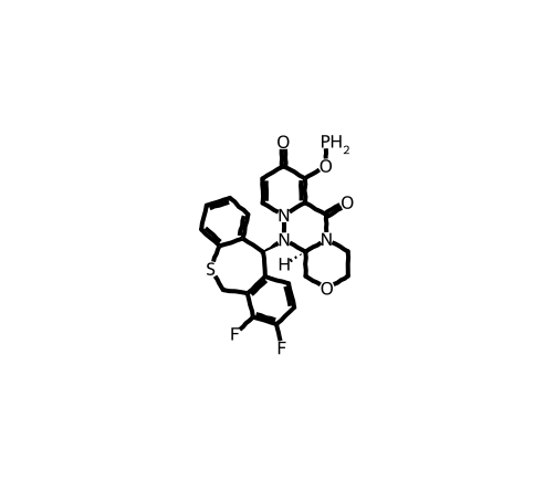 O=C1c2c(OP)c(=O)ccn2N([C@@H]2c3ccccc3SCc3c2ccc(F)c3F)[C@@H]2COCCN12